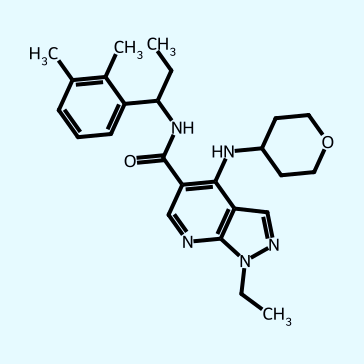 CCC(NC(=O)c1cnc2c(cnn2CC)c1NC1CCOCC1)c1cccc(C)c1C